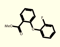 COC(=O)c1ccccc1Oc1ccccc1F